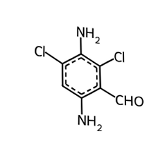 Nc1cc(Cl)c(N)c(Cl)c1C=O